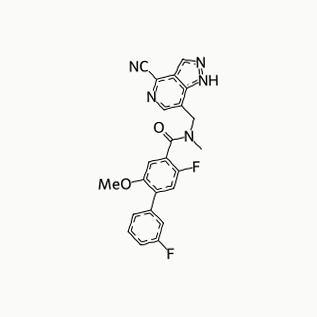 COc1cc(C(=O)N(C)Cc2cnc(C#N)c3cn[nH]c23)c(F)cc1-c1cccc(F)c1